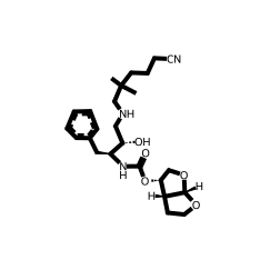 CC(C)(CCCC#N)CNC[C@H](O)[C@H](Cc1ccccc1)NC(=O)O[C@@H]1CO[C@@H]2OCC[C@@H]21